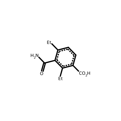 CCc1ccc(C(=O)O)c(CC)c1C(N)=O